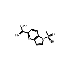 COC(=N)c1ccc2c(ccn2S(C)(=N)=O)n1